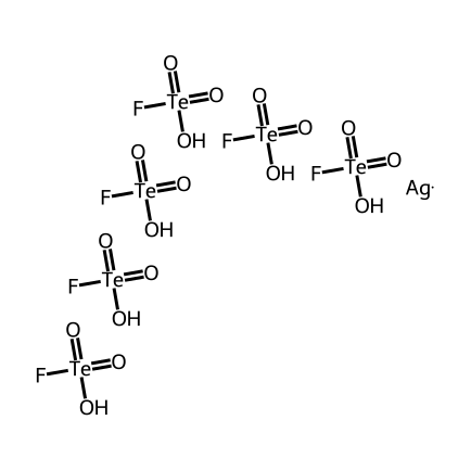 O=[Te](=O)(O)F.O=[Te](=O)(O)F.O=[Te](=O)(O)F.O=[Te](=O)(O)F.O=[Te](=O)(O)F.O=[Te](=O)(O)F.[Ag]